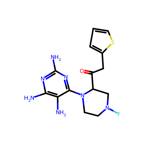 Nc1nc(N)c(N)c(N2CCN(F)CC2C(=O)Cc2cccs2)n1